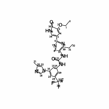 CCOc1cc(-c2ncc(NC(=O)Nc3cc(-n4cnc(C)c4)cc(C(F)(F)F)c3)c(CC)n2)c[nH]c1=O